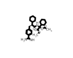 COC(=O)C(NC(=O)[C@@H](Cc1ccc(C(=N)N)cc1)C1CCCCC1)(OC(C)=O)C1CCCCC1